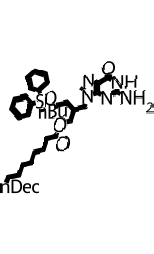 CCCCCCCCCCCCCCCCCC(=O)OCC(CCO[Si](CCCC)(c1ccccc1)c1ccccc1)Cn1cnc2c(=O)[nH]c(N)nc21